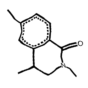 Cc1ccc2c(c1)C(C)CN(C)C2=O